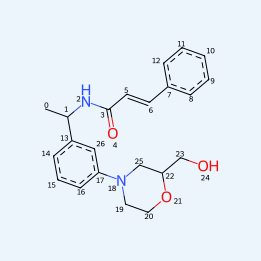 CC(NC(=O)C=Cc1ccccc1)c1cccc(N2CCOC(CO)C2)c1